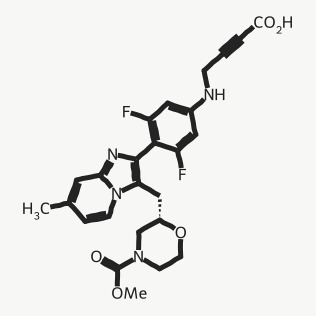 COC(=O)N1CCO[C@@H](Cc2c(-c3c(F)cc(NCC#CC(=O)O)cc3F)nc3cc(C)ccn23)C1